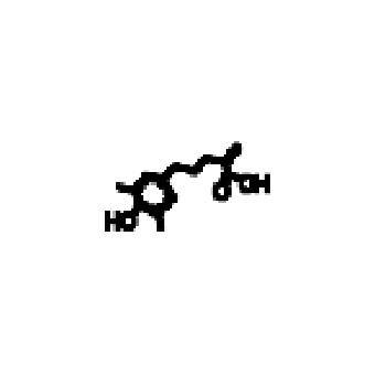 C=C(CCCc1cc(C)c(O)c(C)c1)C(=O)O